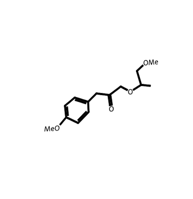 COCC(C)OCC(=O)Cc1ccc(OC)cc1